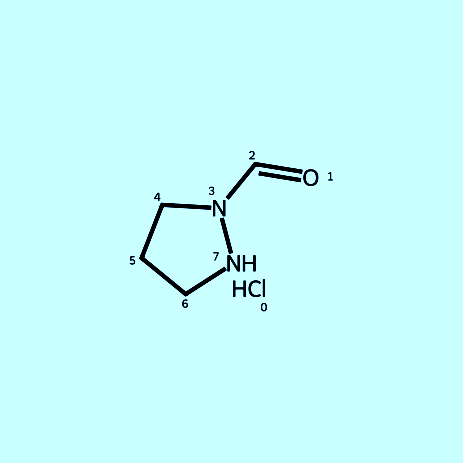 Cl.O=CN1CCCN1